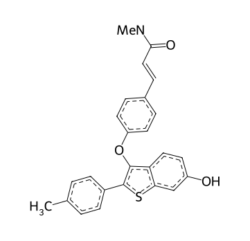 CNC(=O)/C=C/c1ccc(Oc2c(-c3ccc(C)cc3)sc3cc(O)ccc23)cc1